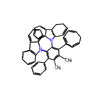 N#Cc1c(C#N)c(-c2ccccc2)c(-n2c3c(c4ccccc42)CCC=C3)c(-n2c3c(c4ccccc42)CCC=C3)c1C1=CC=CCC=C1